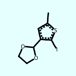 Cc1cc(C2OCCO2)c(I)s1